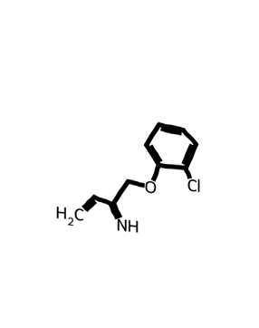 C=CC(=N)COc1ccccc1Cl